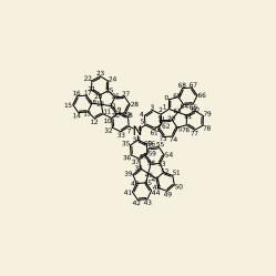 C1=C(c2ccc(N(c3ccc(C4=Cc5ccccc5C45c4ccccc4-c4ccccc45)cc3)c3ccc(C4=Cc5ccccc5C45c4ccccc4-c4ccccc45)cc3)cc2)C2(c3ccccc31)c1ccccc1-c1ccccc12